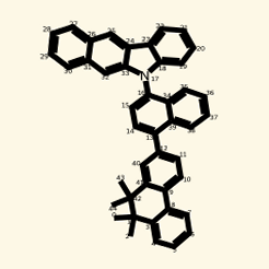 CC1(C)c2ccccc2-c2ccc(-c3ccc(-n4c5ccccc5c5cc6ccccc6cc54)c4ccccc34)cc2C1(C)C